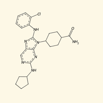 NC(=O)C1CCC(n2c(Nc3ccccc3Cl)nc3cnc(NC4CCCC4)nc32)CC1